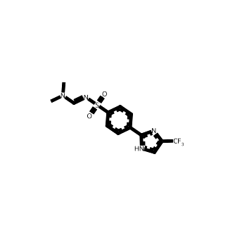 CN(C)C=NS(=O)(=O)c1ccc(-c2nc(C(F)(F)F)c[nH]2)cc1